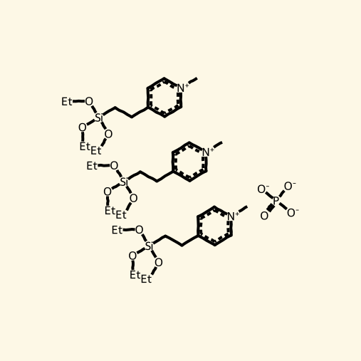 CCO[Si](CCc1cc[n+](C)cc1)(OCC)OCC.CCO[Si](CCc1cc[n+](C)cc1)(OCC)OCC.CCO[Si](CCc1cc[n+](C)cc1)(OCC)OCC.O=P([O-])([O-])[O-]